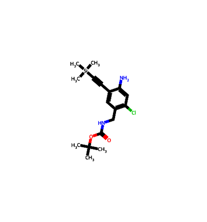 CC(C)(C)OC(=O)NCc1cc(C#C[Si](C)(C)C)c(N)cc1Cl